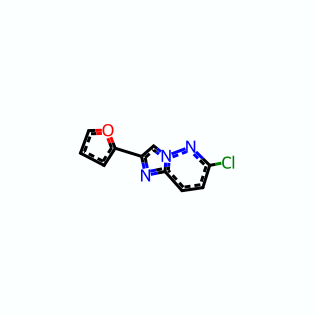 Clc1ccc2nc(-c3ccco3)cn2n1